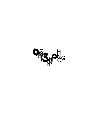 COC(=O)NC1CCC(n2nnc3cnc4c(ccn4S(=O)(=O)c4ccccc4)c32)C1